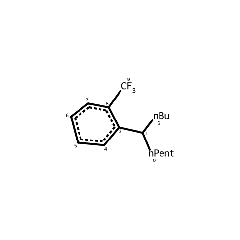 CCCCCC(CCCC)c1ccccc1C(F)(F)F